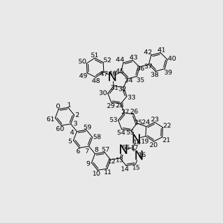 c1ccc(-c2ccc(-c3cccc(-c4ccnc(-n5c6ccccc6c6cc(-c7ccc8c(c7)c7cc(-c9ccccc9)ccc7n8-c7ccccc7)ccc65)n4)c3)cc2)cc1